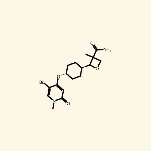 Cn1cc(Br)c(O[C@H]2CC[C@H](C3OCC3(C)C(N)=O)CC2)cc1=O